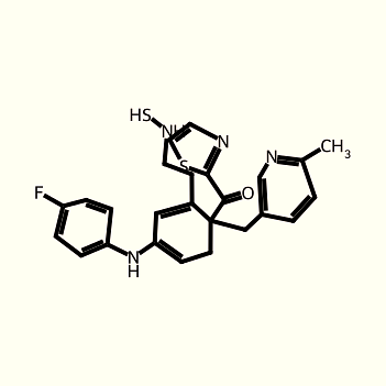 Cc1ccc(CC2(C(=O)c3nccs3)CC=C(Nc3ccc(F)cc3)C=C2CCNS)cn1